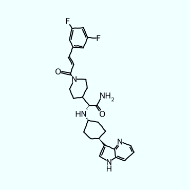 NC(=O)[C@H](N[C@H]1CC[C@H](c2c[nH]c3cccnc32)CC1)C1CCN(C(=O)/C=C/c2cc(F)cc(F)c2)CC1